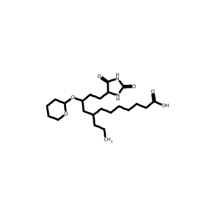 CCCC(CCCCCCC(=O)O)CC(CCC1NC(=O)NC1=O)OC1CCCCO1